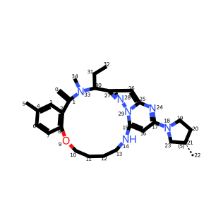 C=C1c2cc(C)ccc2OCCCCNc2cc(N3CC[C@H](C)C3)nc3cc(nn23)C(CC)N1C